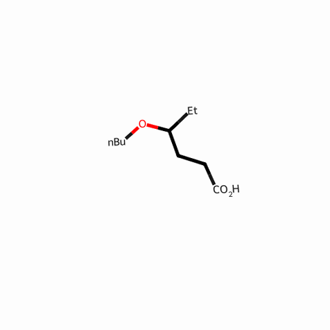 CCCCOC(CC)CCC(=O)O